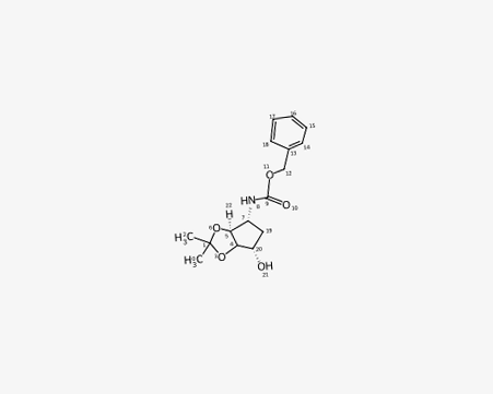 CC1(C)OC2[C@@H](O1)[C@H](NC(=O)OCc1ccccc1)C[C@@H]2O